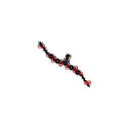 C=CC(=O)OCCCCCCOc1ccc(OC(=O)[C@H]2CC[C@H](C(=O)Oc3ccc(OC(=O)[C@H]4CC[C@H](C(=O)Oc5ccc(OCCCCCCOC(=O)C=C)cc5)CC4)c4sc(-c5cccs5)nc34)CC2)cc1